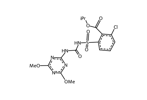 COc1nc(NC(=O)NS(=O)(=O)c2cccc(Cl)c2C(=O)OC(C)C)nc(OC)n1